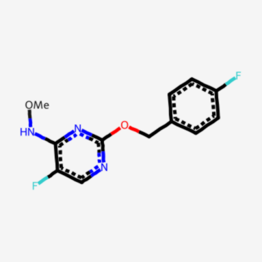 CONc1nc(OCc2ccc(F)cc2)ncc1F